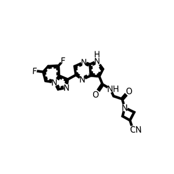 N#CC1CN(C(=O)CNC(=O)c2c[nH]c3ncc(-c4ncn5cc(F)cc(F)c45)nc23)C1